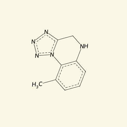 Cc1cccc2c1-n1nnnc1CN2